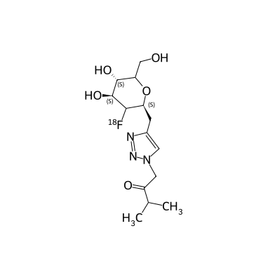 CC(C)C(=O)Cn1cc(C[C@@H]2OC(CO)[C@@H](O)[C@H](O)C2[18F])nn1